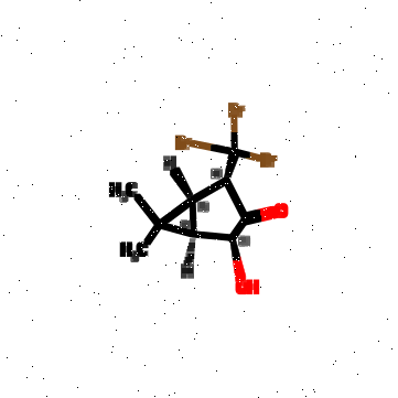 CC1(C)[C@H]2[C@H]1[C@@H](C(Br)(Br)Br)C(=O)[C@H]2O